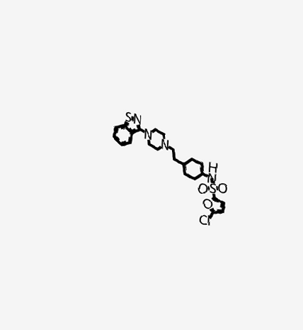 O=S(=O)(NC1CCC(CCN2CCN(c3nsc4ccccc34)CC2)CC1)c1ccc(Cl)o1